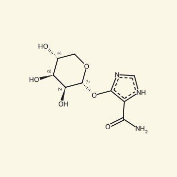 NC(=O)c1[nH]cnc1O[C@H]1OC[C@@H](O)[C@H](O)[C@@H]1O